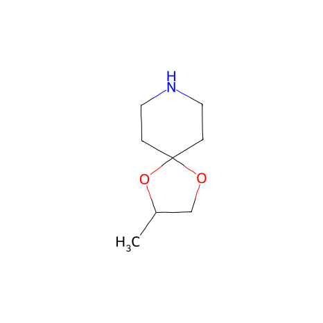 CC1COC2(CCNCC2)O1